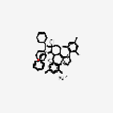 Cc1cc(C)c(N2CCN(c3c(C)cc(C)cc3C)C2=C2CCC(Cl)(P(C3CCCCC3)C3CCCCC3)C(=C=Cc3ccccc3)C2Cl)c(C)c1.[Ru+2]